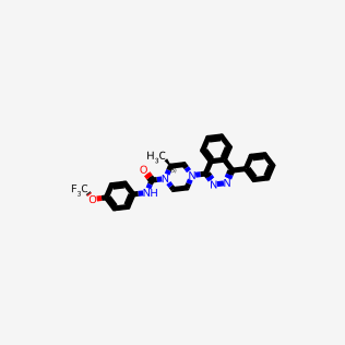 C[C@H]1CN(c2nnc(-c3ccccc3)c3ccccc23)CCN1C(=O)Nc1ccc(OC(F)(F)F)cc1